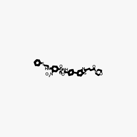 O=C(NS(=O)(=O)c1ccc(NCCSc2ccccc2)c([N+](=O)[O-])c1)c1ccc(-c2ccc3sc(CCC(=O)N4CCOCC4)nc3c2)cc1